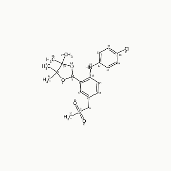 CC1(C)OB(c2cc(CS(C)(=O)=O)ccc2Nc2ccc(Cl)cc2)OC1(C)C